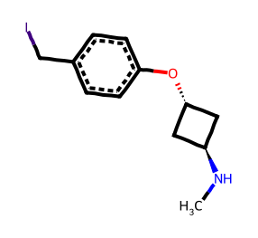 CN[C@H]1C[C@H](Oc2ccc(CI)cc2)C1